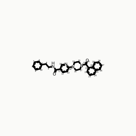 O=C(NCCc1ccccc1)c1ccc(N2CCN(C(=O)c3cccc4ccccc34)CC2)nc1